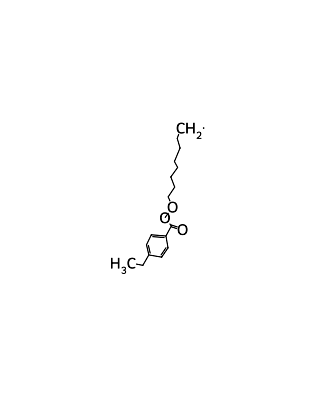 [CH2]CCCCCCCOOC(=O)c1ccc(CC)cc1